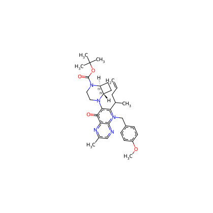 C=CCC(C)c1c(N2CCN(C(=O)OC(C)(C)C)[C@H]3CC[C@@H]32)c(=O)c2nc(C)cnc2n1Cc1ccc(OC)cc1